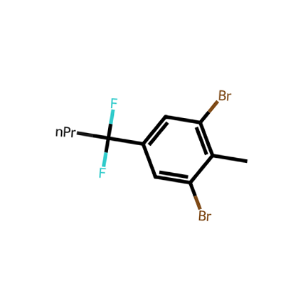 CCCC(F)(F)c1cc(Br)c(C)c(Br)c1